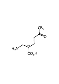 NC[C@H](CCC(=O)C(F)(F)F)C(=O)O